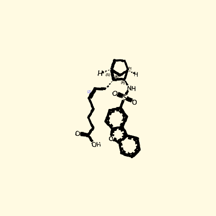 O=C(O)CCC/C=C\C[C@@H]1[C@H]2CC[C@H](C2)[C@H]1NS(=O)(=O)c1ccc2oc3ccccc3c2c1